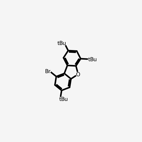 CC(C)(C)c1cc(Br)c2c(c1)oc1c(C(C)(C)C)cc(C(C)(C)C)cc12